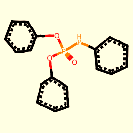 O=P(Oc1ccccc1)(Oc1ccccc1)Pc1ccccc1